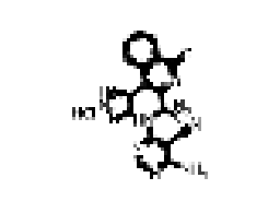 CC(Nc1ncnc(N)c1C#N)c1oc(=O)c2ccccc2c1-c1cn[nH]c1.Cl